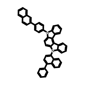 c1ccc(-c2ccc(-n3c4ccccc4c4c5c6ccccc6n(-c6ccc(-c7ccc8ccccc8c7)cc6)c5ccc43)c3ccccc23)cc1